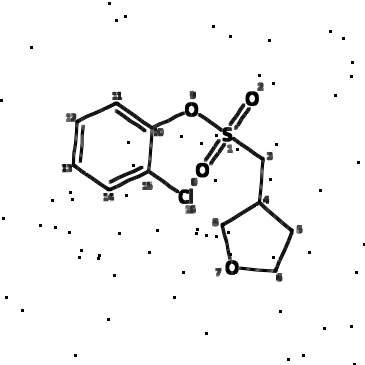 O=S(=O)(CC1CCOC1)Oc1ccccc1Cl